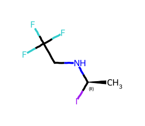 C[C@@H](I)NCC(F)(F)F